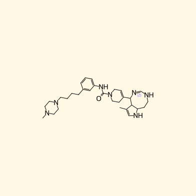 CC1=CNC2CCN/C=N\C(C3=CCN(C(=O)Nc4cccc(CCCCN5CCN(C)CC5)c4)CC3)C12